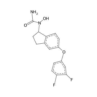 NC(=O)N(O)C1CCc2cc(Oc3ccc(F)c(F)c3)ccc21